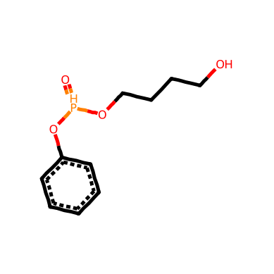 O=[PH](OCCCCO)Oc1ccccc1